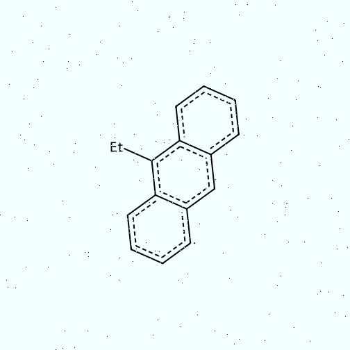 CCc1c2ccc[c]c2cc2ccccc12